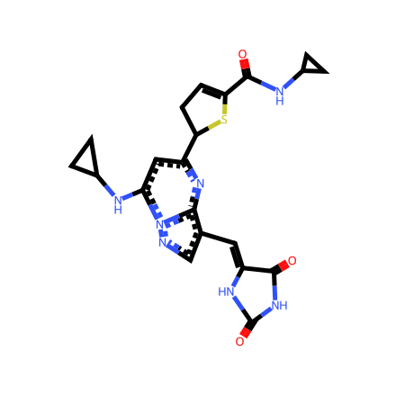 O=C1NC(=O)/C(=C/c2cnn3c(NC4CC4)cc(C4CC=C(C(=O)NC5CC5)S4)nc23)N1